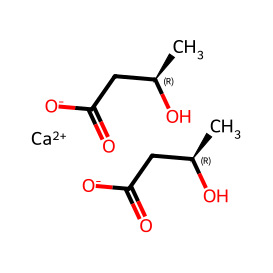 C[C@@H](O)CC(=O)[O-].C[C@@H](O)CC(=O)[O-].[Ca+2]